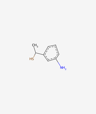 CC(S)c1cccc(N)c1